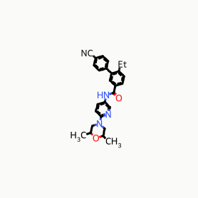 CCc1ccc(C(=O)Nc2ccc(N3CC(C)OC(C)C3)nc2)cc1-c1ccc(C#N)cc1